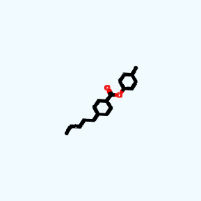 CCCCCC1CCC(C(=O)OC2CCC(C)CC2)CC1